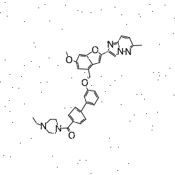 CCN1CCN(C(=O)c2ccc(-c3cccc(OCc4cc(OC)cc5oc(-c6cn7nc(C)ccc7n6)cc45)c3)cc2)CC1